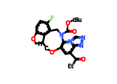 CCC(=O)c1cc2c(n3cnnc13)N(C(=O)OC(C)(C)C)Cc1c(F)ccc3c1[C@H](CO3)CO2